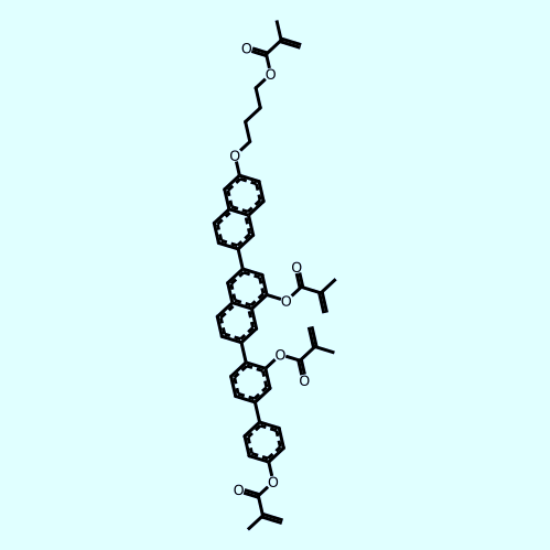 C=C(C)C(=O)OCCCCOc1ccc2cc(-c3cc(OC(=O)C(=C)C)c4cc(-c5ccc(-c6ccc(OC(=O)C(=C)C)cc6)cc5OC(=O)C(=C)C)ccc4c3)ccc2c1